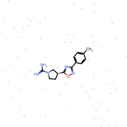 Cc1ccc(-c2noc([C@H]3CCN(C(=N)N)C3)n2)cc1